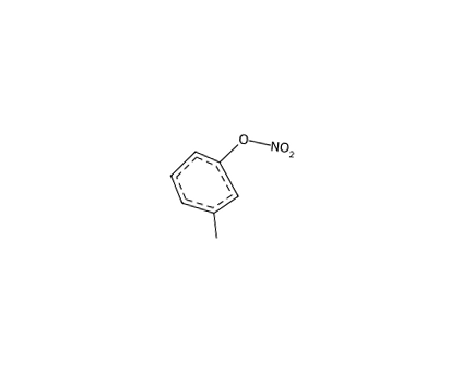 Cc1cccc(O[N+](=O)[O-])c1